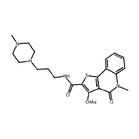 COc1c(C(=O)NCCCN2CCN(C)CC2)sc2c1c(=O)n(C)c1ccccc21